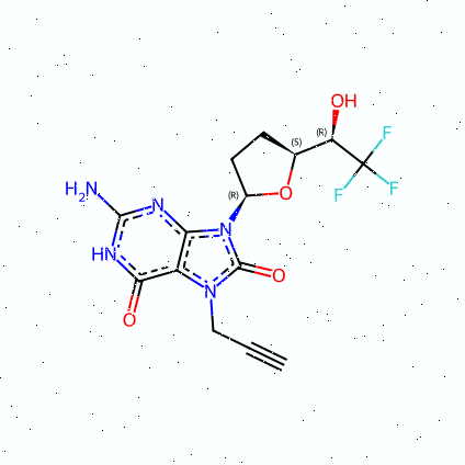 C#CCn1c(=O)n([C@H]2CC[C@@H]([C@@H](O)C(F)(F)F)O2)c2nc(N)[nH]c(=O)c21